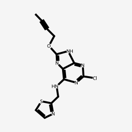 CC#CCOc1nc2c(NCc3nccs3)nc(Cl)nc2[nH]1